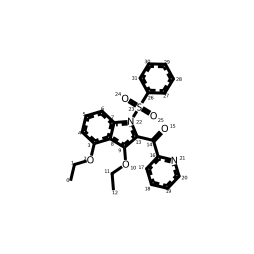 CCOc1cccc2c1c(OCC)c(C(=O)c1ccccn1)n2S(=O)(=O)c1ccccc1